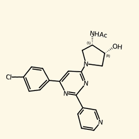 CC(=O)N[C@H]1CN(c2cc(-c3ccc(Cl)cc3)nc(-c3cccnc3)n2)C[C@H]1O